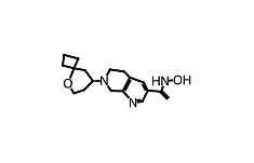 C=C(NO)c1cnc2c(c1)CCN([C@H]1CCOC3(CCC3)C1)C2